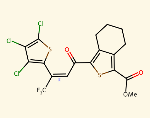 COC(=O)c1sc(C(=O)/C=C(\c2sc(Cl)c(Cl)c2Cl)C(F)(F)F)c2c1CCCC2